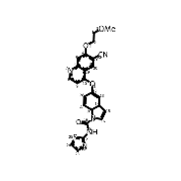 COCCOc1cc2nccc(OC3=CC4C=CN(C(=O)Nc5nccs5)C4C=C3)c2cc1C#N